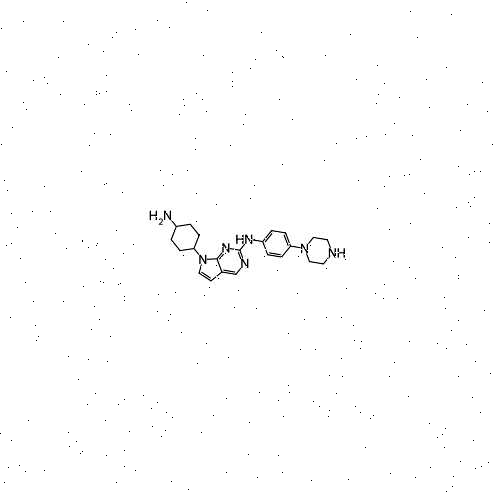 NC1CCC(n2ccc3cnc(Nc4ccc(N5CCNCC5)cc4)nc32)CC1